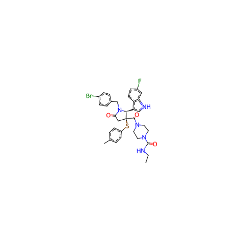 CCNC(=O)N1CCN(C(=O)[C@]2(Sc3ccc(C)cc3)CC(=O)N(Cc3ccc(Br)cc3)[C@H]2c2c[nH]c3cc(F)ccc23)CC1